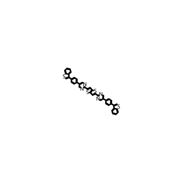 c1ccc2c(-c3ccc(-c4cnc(-c5cc6sc(-c7ncc(-c8ccc(-c9csc%10ccccc9%10)cc8)cn7)cc6s5)nc4)cc3)csc2c1